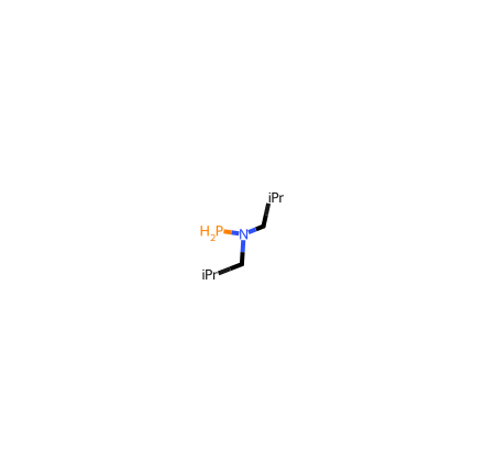 CC(C)CN(P)CC(C)C